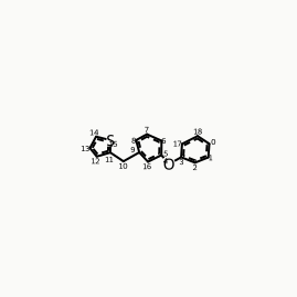 c1ccc(Oc2cccc(Cc3cccs3)c2)cc1